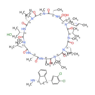 C/C=C/C[C@@H](C)[C@@H](O)[C@H]1C(=O)N[C@@H](CC)C(=O)N(C)CC(=O)N(C)[C@@H](CC(C)C)C(=O)N[C@@H](C(C)C)C(=O)N(C)[C@@H](CC(C)C)C(=O)N[C@@H](C)C(=O)N[C@H](C)C(=O)N(C)[C@@H](CC(C)C)C(=O)N(C)[C@@H](CC(C)C)C(=O)N(C)[C@@H](C(C)C)C(=O)N1C.CN[C@H]1CC[C@@H](c2ccc(Cl)c(Cl)c2)c2ccccc21.Cl